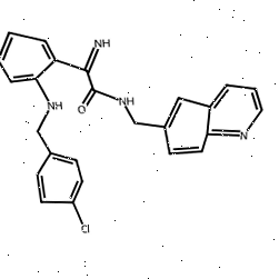 N=C(C(=O)NCc1ccc2ncccc2c1)c1ccccc1NCc1ccc(Cl)cc1